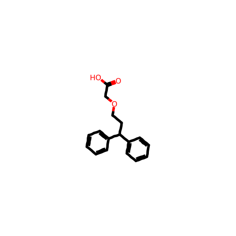 O=C(O)COCCC(c1ccccc1)c1ccccc1